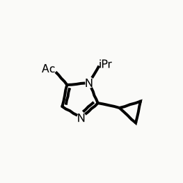 CC(=O)c1cnc(C2CC2)n1C(C)C